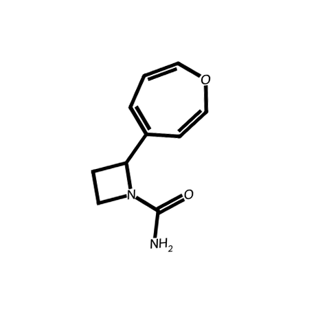 NC(=O)N1CCC1C1=CC=COC=C1